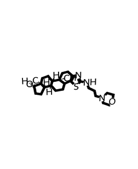 C[C@]12CCc3nc(NCCCN4CCOCC4)sc3C1CC[C@@H]1[C@@H]2CC[C@]2(C)C(=O)CC[C@@H]12